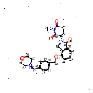 [2H]N1C(=O)CCC(N2Cc3c(OCc4ccc(CN5CCOCC5)cc4)cccc3C2=O)C1=O